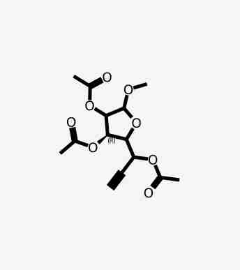 C#CC(OC(C)=O)C1OC(OC)C(OC(C)=O)[C@@H]1OC(C)=O